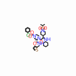 CC(C)S(=O)(=O)N1CCC([C@@H](NC2CCCCC2)C(=O)N2CCN(C(=O)Oc3ccccc3Cl)C[C@H]2C(=O)NCc2cccs2)CC1